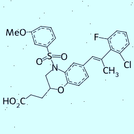 COc1cccc(S(=O)(=O)N2CC(CCC(=O)O)Oc3ccc(C=C(C)c4c(F)cccc4Cl)cc32)c1